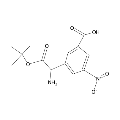 CC(C)(C)OC(=O)C(N)c1cc(C(=O)O)cc([N+](=O)[O-])c1